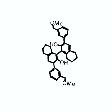 COCc1cccc(-c2cc3c(c(C4=C(O)C(c5cccc(COC)c5)CC5=C4CCCC5)c2O)CCCC3)c1